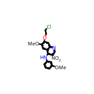 COc1cccc(Nc2c([N+](=O)[O-])cnc3cc(OCCCl)c(OC)cc23)c1